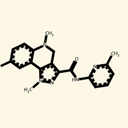 Cc1cccc(NC(=O)c2nn(C)c3c2CN(C)c2ccc(F)cc2-3)n1